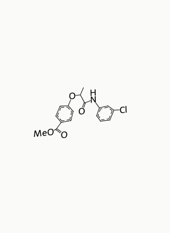 COC(=O)c1ccc(OC(C)C(=O)Nc2cccc(Cl)c2)cc1